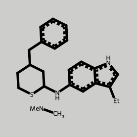 CCc1c[nH]c2ccc(NC3CC(Cc4ccccc4)CCS3)cc12.CNC